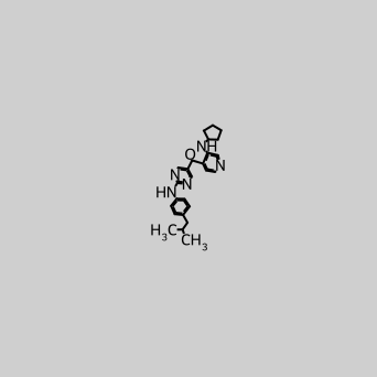 CC(C)Cc1ccc(Nc2ncc(C(=O)c3ccncc3NC3CCCC3)cn2)cc1